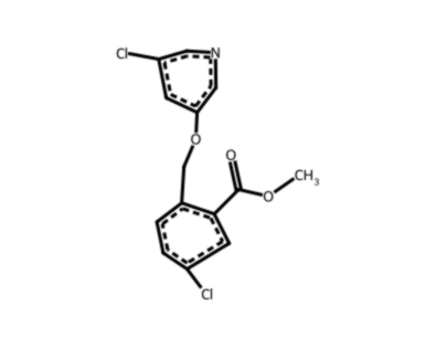 COC(=O)c1cc(Cl)ccc1COc1cncc(Cl)c1